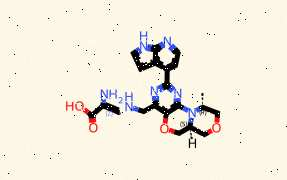 C[C@@H]1COC[C@H]2COc3c(CN/C=C(\N)C(=O)O)nc(-c4ccnc5[nH]ccc45)nc3N21